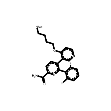 CNCCCCOc1ccncc1-c1ccc(C(N)=O)nc1-c1c(F)cccc1F